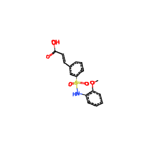 COc1ccccc1NS(=O)(=O)c1cccc(C=CC(=O)O)c1